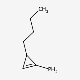 CCCCC1C=C1P